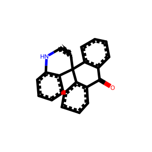 O=C1c2ccccc2C2(c3ccccc3Nc3ccccc32)c2ccccc21